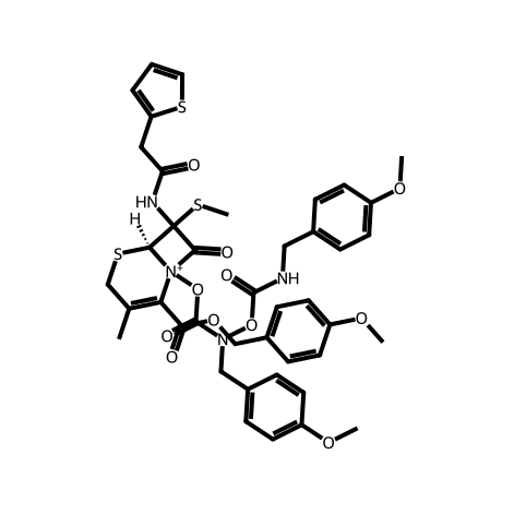 COc1ccc(CNC(=O)ON(Cc2ccc(OC)cc2)C(=O)O[N+]23C(=O)C(NC(=O)Cc4cccs4)(SC)[C@@H]2SCC(C)=C3C(=O)OCc2ccc(OC)cc2)cc1